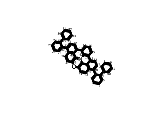 c1ccc(-c2ccccc2-c2ccc3c4cccc5c6ccc(-c7ccccc7-c7ccccc7)c7ccc8oc9ccc2c3c9n(c45)c8c76)cc1